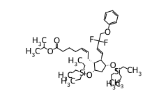 CC[Si](CC)(CC)O[C@H]1C[C@@H](O[Si](CC)(CC)CC)[C@H](/C=C/C(F)(F)COc2ccccc2)[C@H]1C/C=C\CCCC(=O)OC(C)C